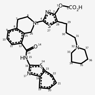 O=C(O)Oc1nc(N2CCc3cccc(C(=O)Nc4nc5ccccc5s4)c3C2)sc1CCCN1CCCCC1